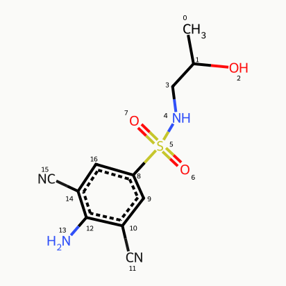 CC(O)CNS(=O)(=O)c1cc(C#N)c(N)c(C#N)c1